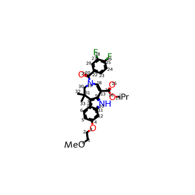 COCCOc1ccc2c3c([nH]c2c1)C(C(=O)OC(C)C)=CN(C(=O)c1ccc(F)c(F)c1)CC3(C)C